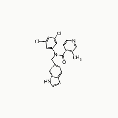 Cc1cnccc1C(=O)N(Cc1ccc2cc[nH]c2c1)c1cc(Cl)cc(Cl)c1